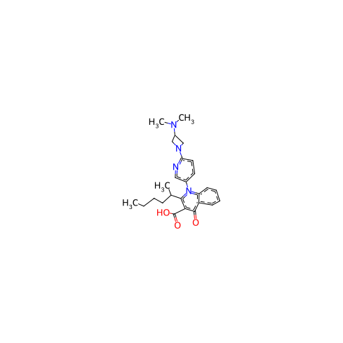 CCCCC(C)c1c(C(=O)O)c(=O)c2ccccc2n1-c1ccc(N2CC(N(C)C)C2)nc1